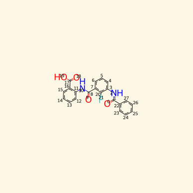 O=C(Nc1cccc(C(=O)Nc2ccccc2C(=O)O)c1F)c1ccccc1